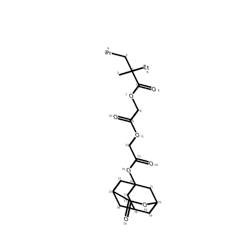 CCC(C)(CC(C)C)C(=O)OCC(=O)OCC(=O)OC12CC3CC(C1)OC(=O)C(C3)C2